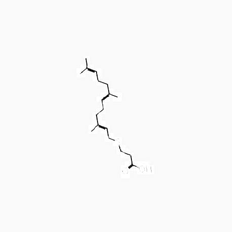 CC(C)=CCCC(C)=CCCC(C)=CCSCCC(=O)O